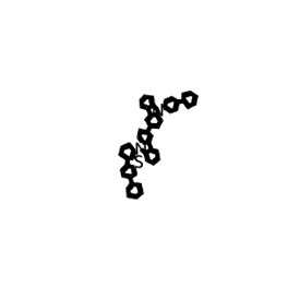 c1ccc(-c2ccc(-n3c4ccccc4c4cc(-c5ccc6c(c5)c5ccccc5n6-c5cccc6c5sc5cc(-c7ccccc7)ccc56)ccc43)cc2)cc1